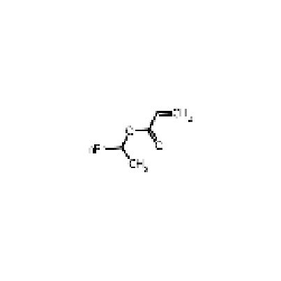 C=CC(=O)OC(C)C[CH]C